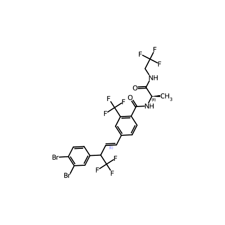 C[C@@H](NC(=O)c1ccc(/C=C/C(c2ccc(Br)c(Br)c2)C(F)(F)F)cc1C(F)(F)F)C(=O)NCC(F)(F)F